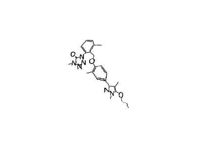 CCCOc1c(C)c(-c2ccc(OCc3c(C)cccc3-n3nnn(C)c3=O)c(C)c2)nn1C